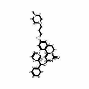 CN1CCN(CCCOc2ccc3c(c2)CCn2c-3cc(OC(C3=CC=CCC3)C3=COC=CO3)nc2=O)CC1